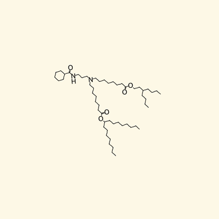 CCCCCCCCC(CCCCCCCC)OC(=O)CCCCCCCN(CCCCCCCC(=O)OCCC(CCCC)CCCC)CCCNC(=O)C1CCCCC1